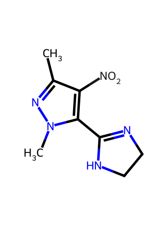 Cc1nn(C)c(C2=NCCN2)c1[N+](=O)[O-]